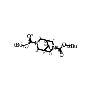 CC(C)(C)OC(=O)N1CC2CN(C(=O)OC(C)(C)C)CC(C1)C2=O